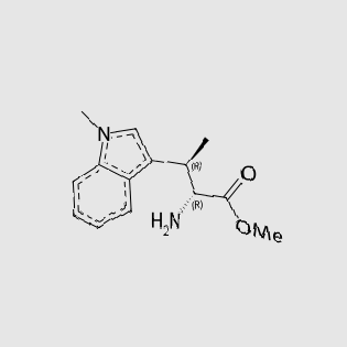 COC(=O)[C@H](N)[C@H](C)c1cn(C)c2ccccc12